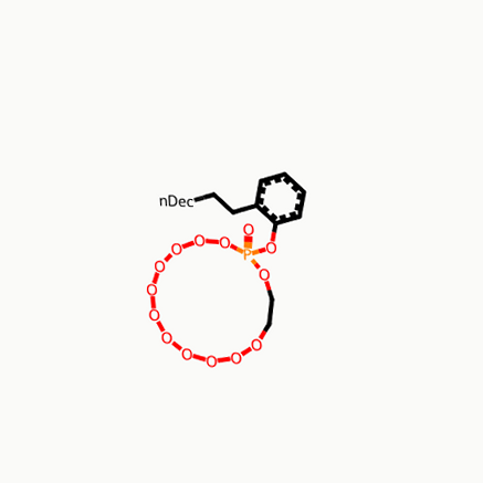 CCCCCCCCCCCCc1ccccc1OP1(=O)OCCOOOOOOOOOOO1